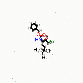 CC(C)(CC[C@H](NC(=O)OCc1ccccc1)C(=O)CBr)C(F)(F)F